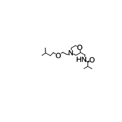 CC(C)CCOCCN1CCOC(CNC(=O)C(C)C)C1